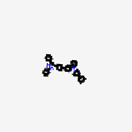 c1ccc(-c2ccc(-n3c4ccccc4c4cc(-c5ccc(-c6cc(-c7ccccc7)nc(-c7ccccc7)n6)cc5)ccc43)cc2)cc1